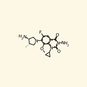 COc1c(N2C[C@H](C)[C@@H](N)C2)c(F)cc2c(=O)n(N)c(=O)n(C3CC3)c12